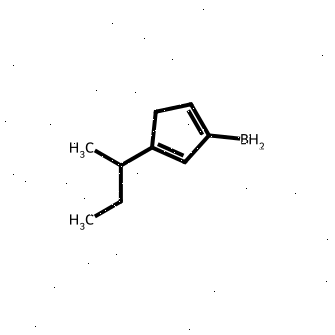 BC1=CCC(C(C)CC)=C1